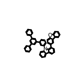 c1ccc(-c2cc(-c3ccccc3)cc(-c3cccc(-n4c5ccccc5c5cccc(-c6ccc7oc8ccccc8c7c6)c54)c3)c2)cc1